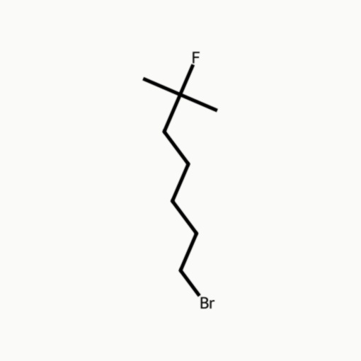 CC(C)(F)CCCCCBr